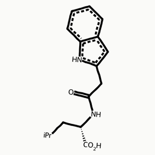 CC(C)C[C@H](NC(=O)Cc1cc2ccccc2[nH]1)C(=O)O